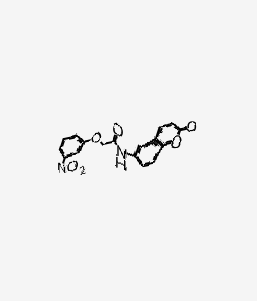 O=C(COc1cccc([N+](=O)[O-])c1)Nc1ccc2oc(=O)ccc2c1